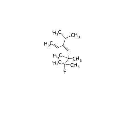 C=C/C(=C\C(C)(C)C(C)(C)F)C(C)C